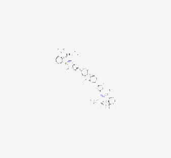 CC(C)=C1c2cc(-c3ccc(/C=C4\C(=O)c5ccccc5C4=C(C#N)C#N)s3)ccc2-c2ccc(-c3ccc(/C=C4\C(=O)c5ccccc5C4=C(C#N)C#N)s3)cc21